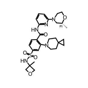 C[C@@H]1CN(c2cccc(NC(=O)c3ccc(S(=O)(=O)NC4(C)COC4)cc3N3CCC4(CC3)CC4)n2)CCO1